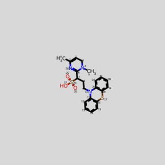 CC1=CCN(C)C(C(CCN2c3ccccc3Sc3ccccc32)S(=O)(=O)O)=N1